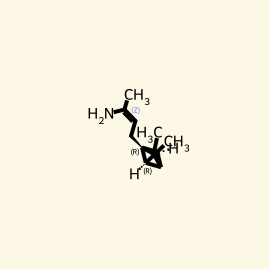 C/C(N)=C/C[C@]12[C@@H]3C([C@@H]1C)C32C